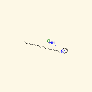 CCCCCCCCCCCCCCCC[n+]1ccccc1.CN.[Cl-]